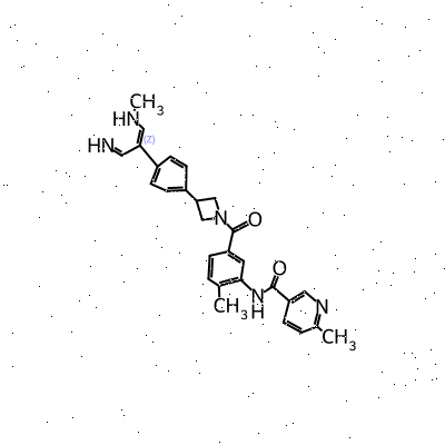 CN/C=C(\C=N)c1ccc(C2CN(C(=O)c3ccc(C)c(NC(=O)c4ccc(C)nc4)c3)C2)cc1